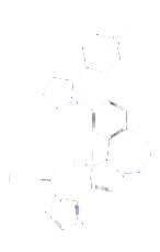 CC(C)n1ncnc1C1=CN2CCOc3ccc(N4CCCC4C4CCN(C)CC4)cc3C2N1